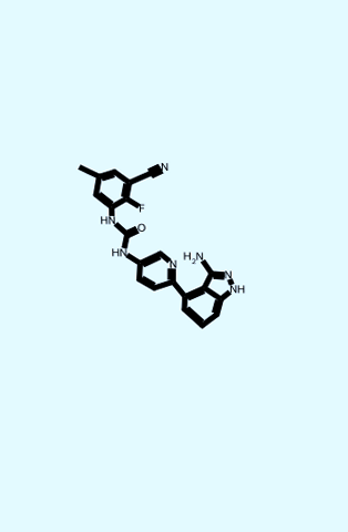 Cc1cc(C#N)c(F)c(NC(=O)Nc2ccc(-c3cccc4[nH]nc(N)c34)nc2)c1